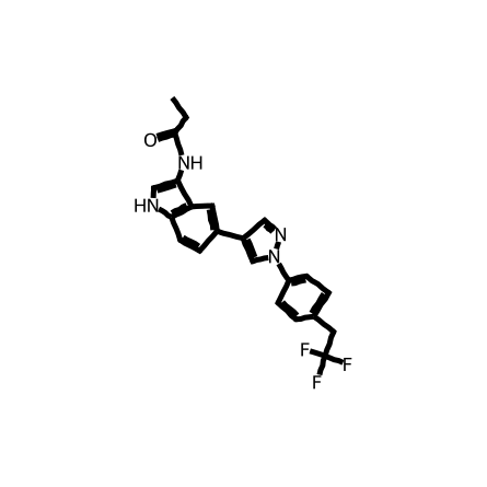 CCC(=O)Nc1c[nH]c2ccc(-c3cnn(-c4ccc(CC(F)(F)F)cc4)c3)cc12